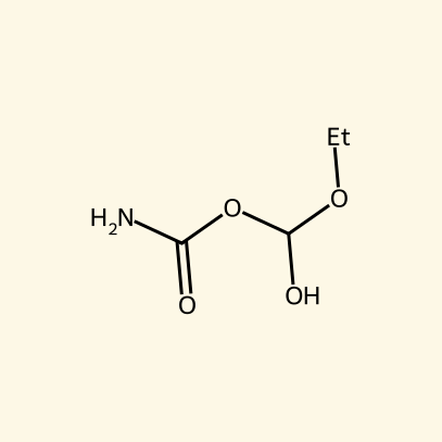 CCOC(O)OC(N)=O